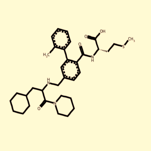 CSCC[C@H](NC(=O)c1ccc(CNC(CC2CCCCC2)C(=O)N2CCCCC2)cc1-c1ccccc1C)C(=O)O